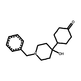 O=C1CCC(C2(O)CCN(Cc3ccccc3)CC2)CC1